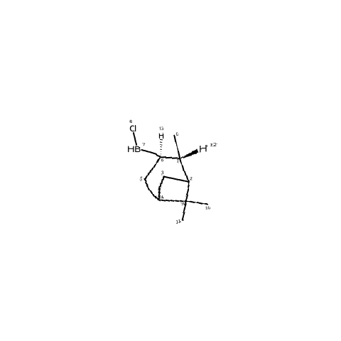 C[C@@H]1C2CC(C[C@H]1BCl)C2(C)C